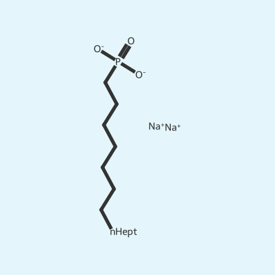 CCCCCCCCCCCCCCP(=O)([O-])[O-].[Na+].[Na+]